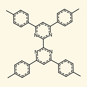 Cc1ccc(-c2cc(-c3ccc(C)cc3)nc(-c3nc(-c4ccc(C)cc4)cc(-c4ccc(C)cc4)n3)n2)cc1